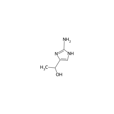 CC(O)c1c[nH]c(N)n1